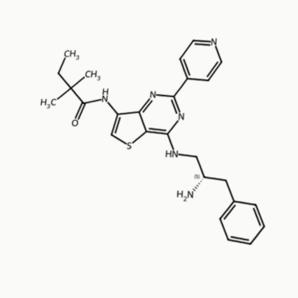 CCC(C)(C)C(=O)Nc1csc2c(NC[C@@H](N)Cc3ccccc3)nc(-c3ccncc3)nc12